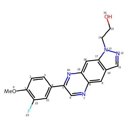 COc1ccc(-c2cnc3cc4cnn(CCO)c4cc3n2)cc1F